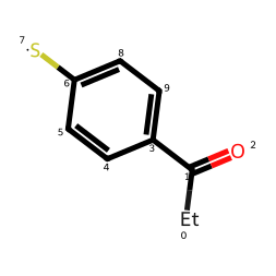 CCC(=O)c1ccc([S])cc1